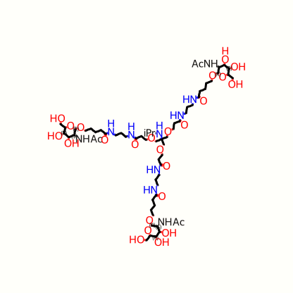 CC(=O)NC1C(O)[C@@H](O)C(CO)O[C@H]1OCCCCC(=O)NCCCNC(=O)CCOCC(COCCC(=O)NCCCNC(=O)CCCCO[C@@H]1OC(CO)[C@H](O)C(O)[C@@H]1NC(C)=O)(COCCC(=O)NCCCNC(=O)CCCCO[C@@H]1OC(CO)[C@H](O)C(O)[C@@H]1NC(C)=O)NC(C)C